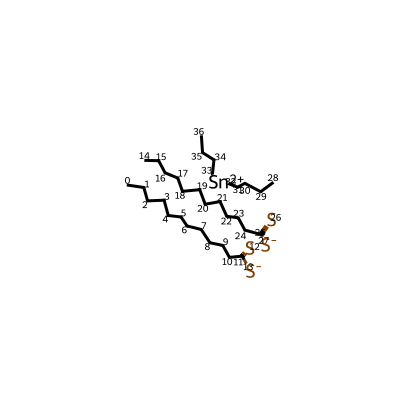 CCCCCCCCCCCC(=S)[S-].CCCCCCCCCCCC(=S)[S-].CCC[CH2][Sn+2][CH2]CCC